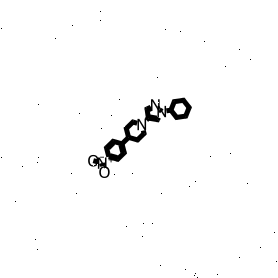 O=[N+]([O-])c1ccc(C2CCN(c3cnn(C4CCCCC4)c3)CC2)cc1